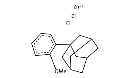 COc1ccccc1C12CC3CC(CC(C3)C1)C2.[Cl-].[Cl-].[Zn+2]